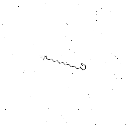 NCCCCCCCCCCCc1cccs1